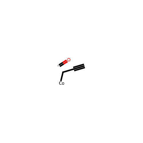 C#C[CH2][Co].[C]=O